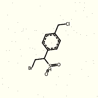 O=[SH](=O)C(CBr)c1ccc(CCl)cc1